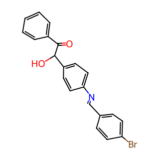 O=C(c1ccccc1)C(O)c1ccc(N=Cc2ccc(Br)cc2)cc1